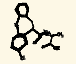 CC(NC(=O)N1Cc2ccccc2Oc2ccc(Cl)cc21)C(=O)O